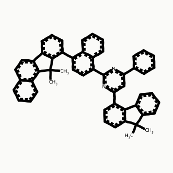 CC1(C)c2ccccc2-c2c(-c3cc(-c4ccccc4)nc(-c4ccc(-c5cccc6c5C(C)(C)c5c-6ccc6ccccc56)c5ccccc45)n3)cccc21